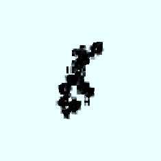 O=C(NS(=O)(=O)c1ccc(NCC2CCOCC2)c([N+](=O)[O-])c1)c1ccc(N2CCC[C@H](CN3CCC[C@H]3c3ccccc3C3CC3)C2)cc1Oc1cnc2[nH]ccc2c1